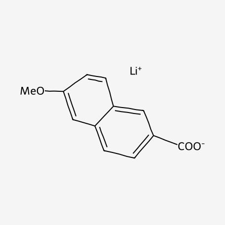 COc1ccc2cc(C(=O)[O-])ccc2c1.[Li+]